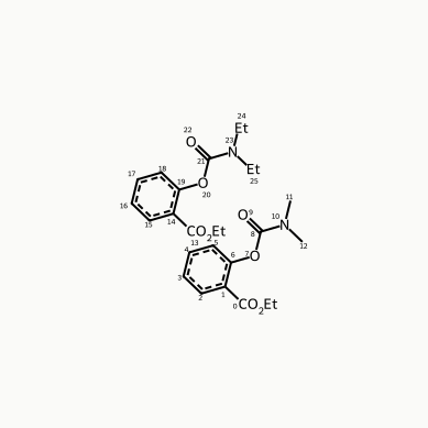 CCOC(=O)c1ccccc1OC(=O)N(C)C.CCOC(=O)c1ccccc1OC(=O)N(CC)CC